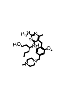 CCC[C@@H](CCO)Nc1nc(N)nc(C)c1Cc1ccc(CN2CCN(C)CC2)cc1OC